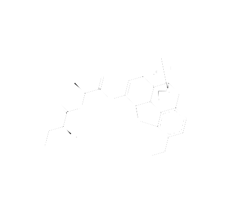 CC(=O)C[C@H](O)C(=O)O[C@@H](C)C(=O)OC1=CC[C@@]2(O)[C@H]3Cc4ccc(CO)c5c4[C@@]2(CCN3C)[C@H]1O5